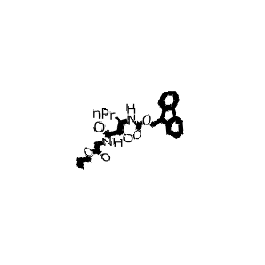 C=CCOC(=O)CNC(=O)C(=O)[C@@H](CCC)NC(=O)OCC1c2ccccc2-c2ccccc21